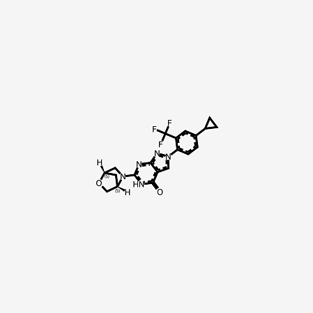 O=c1[nH]c(N2C[C@@H]3C[C@H]2CO3)nc2nn(-c3ccc(C4CC4)cc3C(F)(F)F)cc12